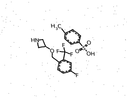 Cc1ccc(S(=O)(=O)O)cc1.Fc1ccc(COC2CNC2)c(C(F)(F)F)c1